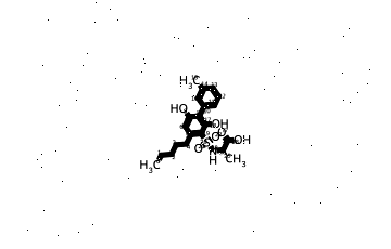 CCCCCc1cc(O)c(-c2cccc(C)c2)c(O)c1S(=O)(=O)N[C@@H](C)C(=O)O